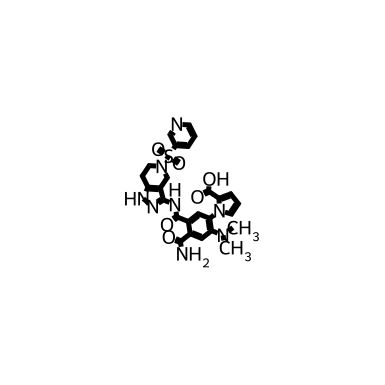 CN(C)c1cc(C(N)=O)c(C(=O)Nc2n[nH]c3c2CN(S(=O)(=O)c2cccnc2)CC3)cc1-n1cccc1C(=O)O